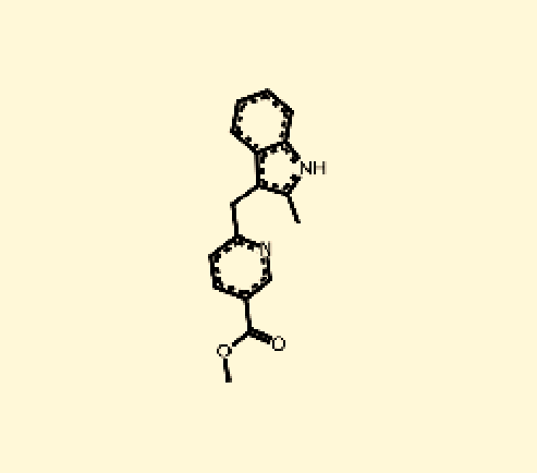 COC(=O)c1ccc(Cc2c(C)[nH]c3ccccc23)nc1